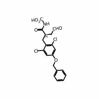 O=CC[C@@H](Cc1c(Cl)cc(OCc2ccccc2)cc1Cl)C(=O)NC(=O)O